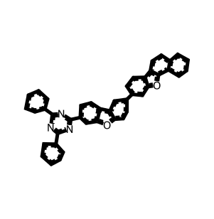 c1ccc(-c2nc(-c3ccccc3)nc(-c3ccc4c(c3)oc3ccc(-c5ccc6c(c5)oc5c7ccccc7ccc65)cc34)n2)cc1